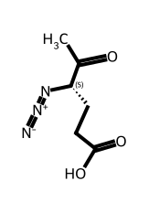 CC(=O)[C@H](CCC(=O)O)N=[N+]=[N-]